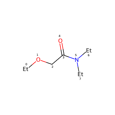 CCOCC(=O)N(CC)CC